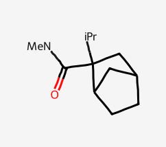 CNC(=O)C1(C(C)C)CC2CCC1C2